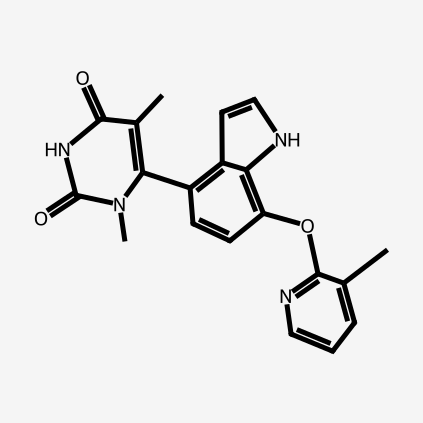 Cc1cccnc1Oc1ccc(-c2c(C)c(=O)[nH]c(=O)n2C)c2cc[nH]c12